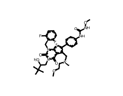 COCCN(C)Cc1c(-c2ccc(NC(=O)NOC)cc2)sc2c1c(=O)n(CC(O)C(C)(C)C)c(=O)n2Cc1c(F)cccc1F